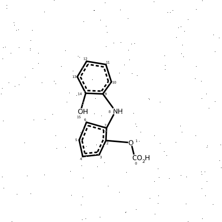 O=C(O)Oc1ccccc1Nc1ccccc1O